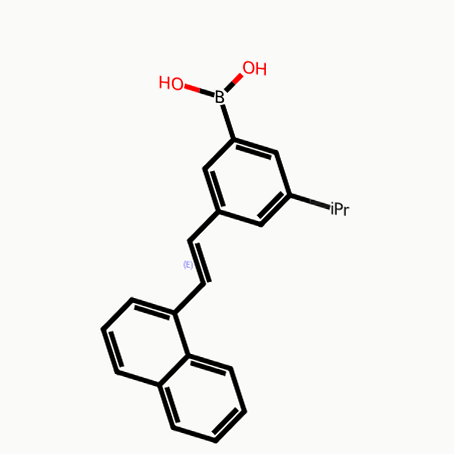 CC(C)c1cc(/C=C/c2cccc3ccccc23)cc(B(O)O)c1